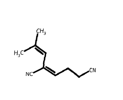 CC(C)=C/C(C#N)=C\CCC#N